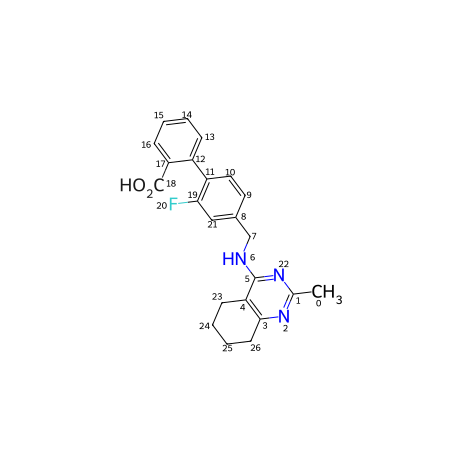 Cc1nc2c(c(NCc3ccc(-c4ccccc4C(=O)O)c(F)c3)n1)CCCC2